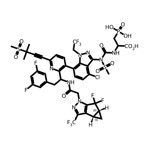 CC(C)(C#Cc1ccc(-c2ccc(Cl)c3c(N(C(=O)NC(CP(=O)(O)O)C(=O)O)S(C)(=O)=O)nn(CC(F)(F)F)c23)c(C(Cc2cc(F)cc(F)c2)NC(=O)Cn2nc(C(F)(F)F)c3c2C(F)(F)[C@@H]2C[C@H]32)n1)S(C)(=O)=O